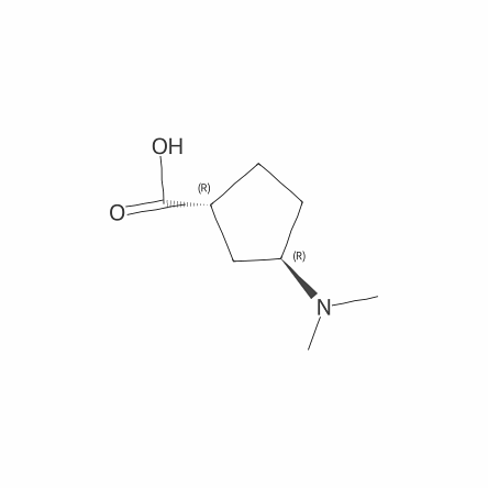 CN(C)[C@@H]1CC[C@@H](C(=O)O)C1